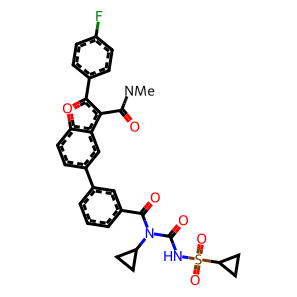 CNC(=O)c1c(-c2ccc(F)cc2)oc2ccc(-c3cccc(C(=O)N(C(=O)NS(=O)(=O)C4CC4)C4CC4)c3)cc12